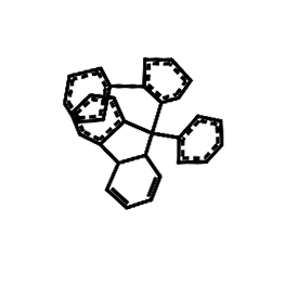 C1=CC2c3ccccc3C(c3ccccc3)(c3ccccc3-c3ccccc3)C2C=C1